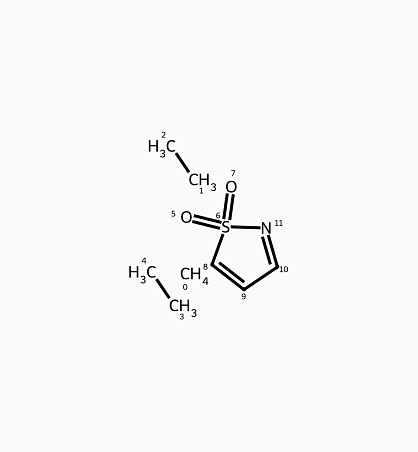 C.CC.CC.O=S1(=O)C=CC=N1